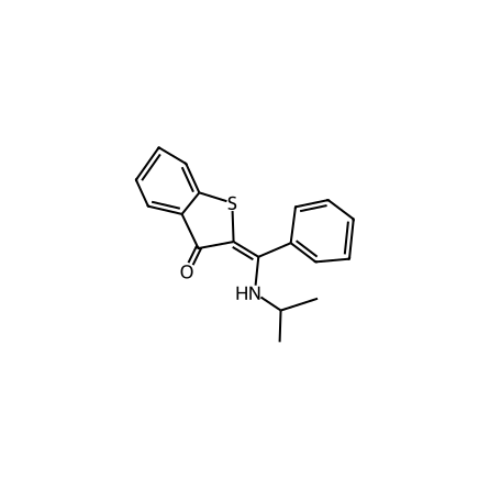 CC(C)NC(=C1Sc2ccccc2C1=O)c1ccccc1